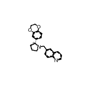 c1cnc2ccc(CN3CCC[C@@H]3c3ccc4c(c3)OCCO4)cc2c1